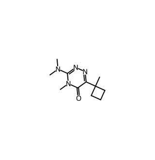 CN(C)c1nnc(C2(C)CCC2)c(=O)n1C